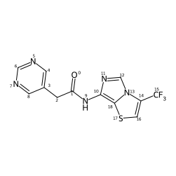 O=C(Cc1cncnc1)Nc1ncn2c(C(F)(F)F)csc12